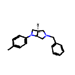 Cc1ccc(N2C[C@H]3CN(Cc4ccccc4)CC32)cc1